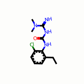 CCc1cccc(Cl)c1NC(=O)NC(=N)N(C)C